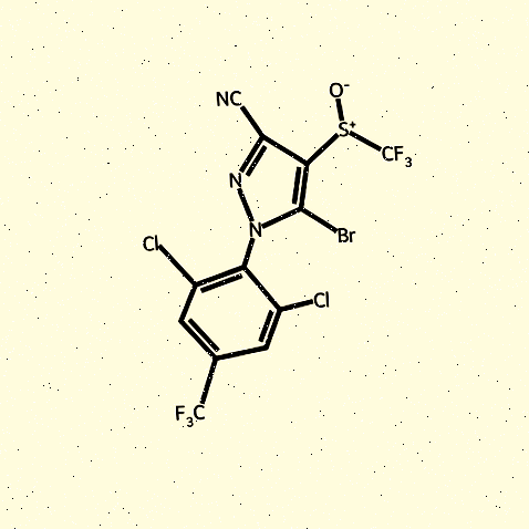 N#Cc1nn(-c2c(Cl)cc(C(F)(F)F)cc2Cl)c(Br)c1[S+]([O-])C(F)(F)F